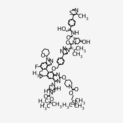 Cc1ncsc1-c1ccc([C@H](CO)NC(=O)[C@@H]2C[C@@H](O)CN2C(=O)[C@H](C(C)C)n2cc(-c3ccc(COc4c(-c5c(C)c(F)cc6c5cnn6C5CCCCO5)c(C5CC5)cc5c(N6C[C@@H]7C[C@H]6CN7C(=O)OC(C)(C)C)nc(OC6CCN(C(=O)OCC[Si](C)(C)C)CC6)nc45)cc3)nn2)cc1